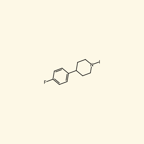 Fc1ccc(C2CCN(I)CC2)cc1